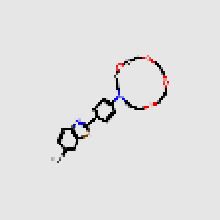 Cc1ccc2nc(-c3ccc(N4CCOCCOCCOCCOCC4)cc3)sc2c1